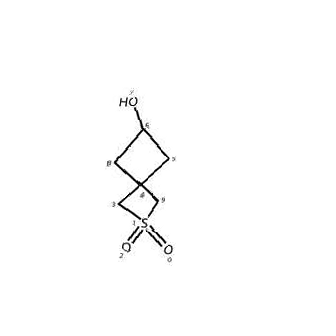 O=S1(=O)CC2(CC(O)C2)C1